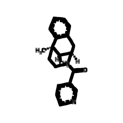 C[C@@H]1[C@H]2Cc3ccccc3[C@]1(C)CCN2C(=O)c1cccnc1